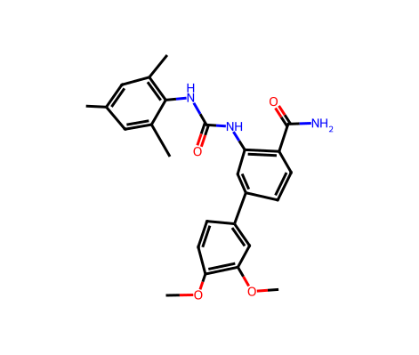 COc1ccc(-c2ccc(C(N)=O)c(NC(=O)Nc3c(C)cc(C)cc3C)c2)cc1OC